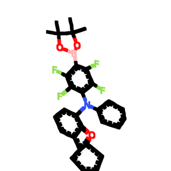 CC1(C)OB(c2c(F)c(F)c(N(c3ccccc3)c3cccc4c3oc3ccccc34)c(F)c2F)OC1(C)C